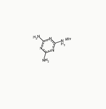 Nc1nc(N)nc(N)n1.[Mn]